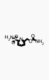 NC(=O)OCc1cccc(S(N)(=O)=O)n1